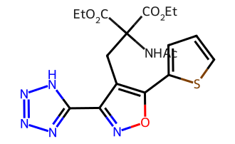 CCOC(=O)C(Cc1c(-c2nnn[nH]2)noc1-c1cccs1)(NC(C)=O)C(=O)OCC